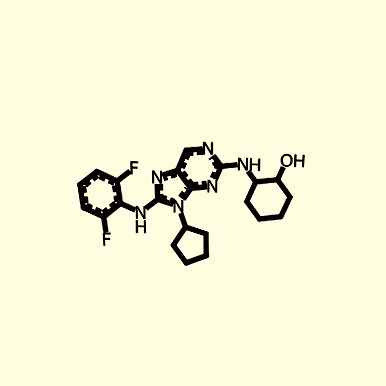 OC1CCCCC1Nc1ncc2nc(Nc3c(F)cccc3F)n(C3CCCC3)c2n1